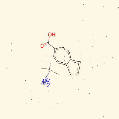 CC(C)(C)N.O=C(O)c1ccc2cccc-2cc1